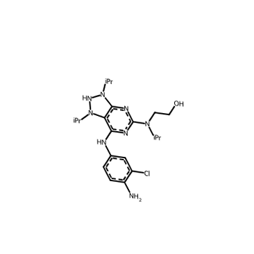 CC(C)N(CCO)c1nc(Nc2ccc(N)c(Cl)c2)c2c(n1)N(C(C)C)NN2C(C)C